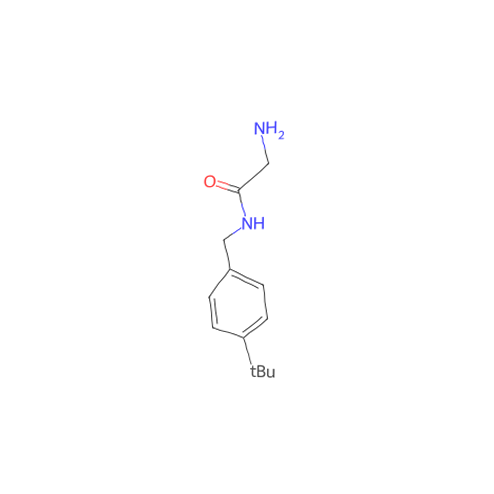 CC(C)(C)c1ccc(CNC(=O)CN)cc1